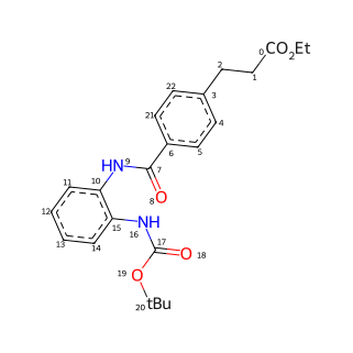 CCOC(=O)CCc1ccc(C(=O)Nc2ccccc2NC(=O)OC(C)(C)C)cc1